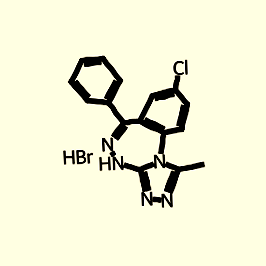 Br.Cc1nnc2n1-c1ccc(Cl)cc1C(c1ccccc1)=NN2